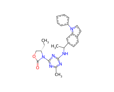 CC[C@H]1COC(=O)N1c1nc(C)nc(NC(C)c2ccc3ccn(-c4ccccc4)c3c2)n1